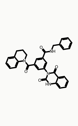 O=C(NCc1ccccc1)c1cc(C(=O)N2CCCc3ccccc32)cc(-n2c(=O)[nH]c3ccccc3c2=O)c1